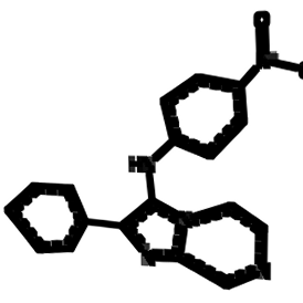 O=[N+]([O-])c1ccc(Nc2c(-c3ccccc3)nc3cnccn23)cc1